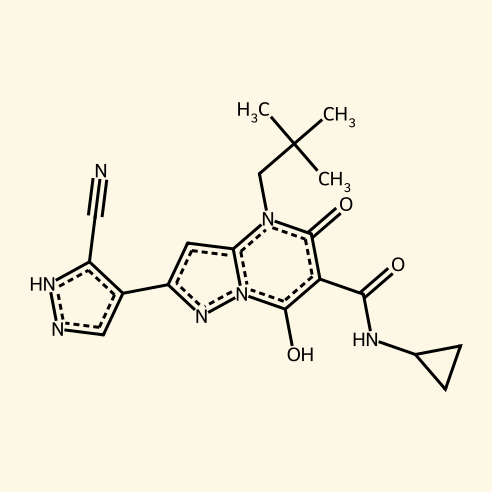 CC(C)(C)Cn1c(=O)c(C(=O)NC2CC2)c(O)n2nc(-c3cn[nH]c3C#N)cc12